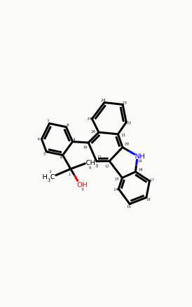 CC(C)(O)c1ccccc1-c1cc2c3ccccc3[nH]c2c2ccccc12